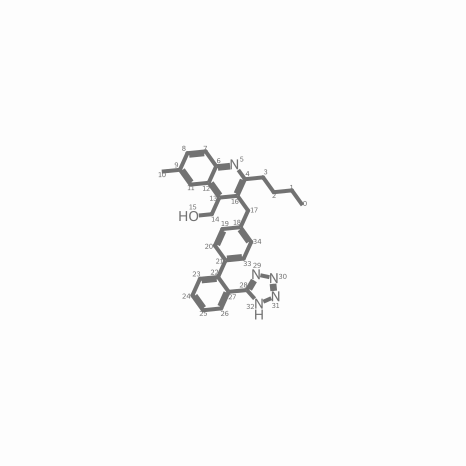 CCCCc1nc2ccc(C)cc2c(CO)c1Cc1ccc(-c2ccccc2-c2nnn[nH]2)cc1